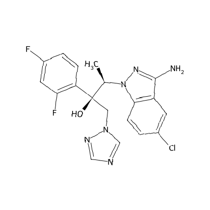 C[C@@H](n1nc(N)c2cc(Cl)ccc21)[C@](O)(Cn1cncn1)c1ccc(F)cc1F